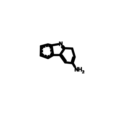 NC1=CCC2=Nc3ccccc3C2=C1